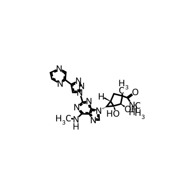 CNC(=O)C1(C)C[C@H]2[C@@H](n3cnc4c(NC)nc(-n5cc(-c6cnccn6)nn5)nc43)[C@@]2(O)[C@@H]1O